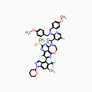 COc1ccc(CN(Cc2ccc(OC)cc2)c2ncc(F)cc2C(C)N2CCOc3nc(-c4c(C(F)(F)F)c(C)cc5c4cnn5C4CCCCO4)c(F)c4nc([S+](C)[O-])nc2c34)cc1